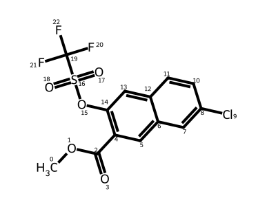 COC(=O)c1cc2cc(Cl)ccc2cc1OS(=O)(=O)C(F)(F)F